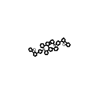 c1ccc2c(c1)oc1c(-c3ccc(-n4c5ccccc5c5cccc6c7ccccc7n(-c7ccc(-c8cccc9c8oc8ccccc89)cc7)c7ccccc7c7cccc(c8ccccc84)c7c56)cc3)cccc12